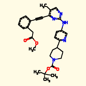 COC(=O)Cc1ccccc1C#Cc1nc(Nc2ccc(C3CCN(C(=O)OC(C)(C)C)CC3)nc2)ncc1C